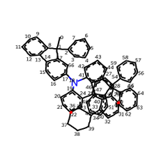 CC1(c2ccccc2)c2ccccc2-c2ccc(N(c3ccccc3-c3cccc4cccc(C5CCCCC5)c34)c3cccc4c3-c3ccccc3C4(c3ccccc3)c3ccccc3)cc21